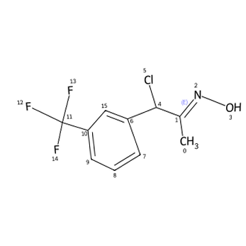 C/C(=N\O)C(Cl)c1cccc(C(F)(F)F)c1